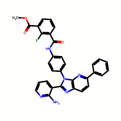 COC(=O)c1cccc(C(=O)Nc2ccc(-n3c(-c4cccnc4N)nc4ccc(-c5ccccc5)nc43)cc2)c1F